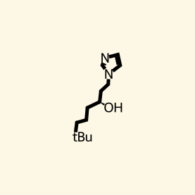 CC(C)(C)CCC[C@@H](O)CCn1ccnc1